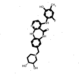 Cc1cc(F)c(Nc2ccnc3c2C(=O)Nc2cc(CN4CC[C@@H](O)[C@H](O)C4)ccc2N3)cc1O